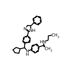 C=C(NCCC)c1ccc(NC(c2ccc(C3=NCC(c4ccccc4)N3)cc2)C2CCCC2)cc1